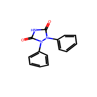 O=c1[nH]c(=O)n(-c2ccccc2)n1-c1ccccc1